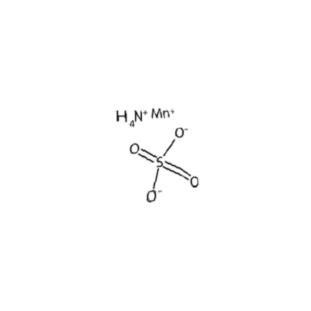 O=S(=O)([O-])[O-].[Mn+].[NH4+]